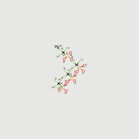 O=S(=O)([O-])C(F)(F)F.O=S(=O)([O-])C(F)(F)F.O=S(=O)([O-])C(F)(F)F.O=S(=O)([O-])C(F)(F)F.[Pb+4]